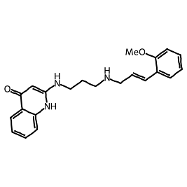 COc1ccccc1C=CCNCCCNc1cc(=O)c2ccccc2[nH]1